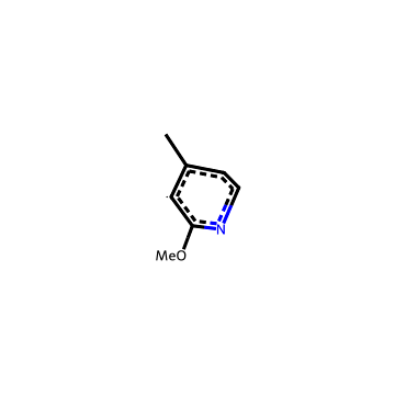 COc1[c]c(C)ccn1